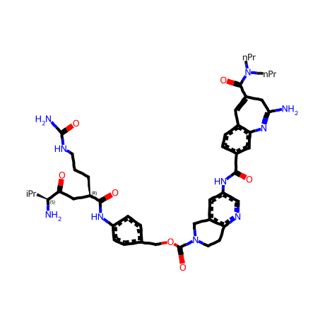 CCCN(CCC)C(=O)C1=Cc2ccc(C(=O)Nc3cnc4c(c3)CN(C(=O)OCc3ccc(NC(=O)[C@H](CCCNC(N)=O)CC(=O)[C@@H](N)C(C)C)cc3)CC4)cc2N=C(N)C1